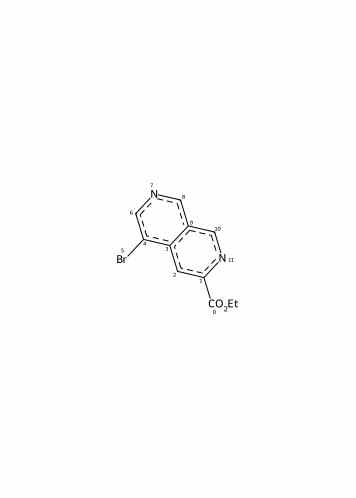 CCOC(=O)c1cc2c(Br)cncc2cn1